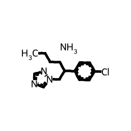 CCCCC(Cn1cncn1)c1ccc(Cl)cc1.N